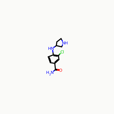 NC(=O)c1ccc(NC2CCNC2)c(Cl)c1